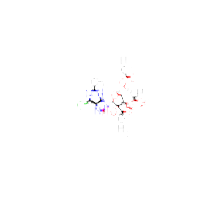 CC(=O)OC[C@H]1O[C@@H](n2cnc3c(Cl)nc(C)nc32)[C@@](O)(C(C)=O)[C@@H]1OC(C)=O